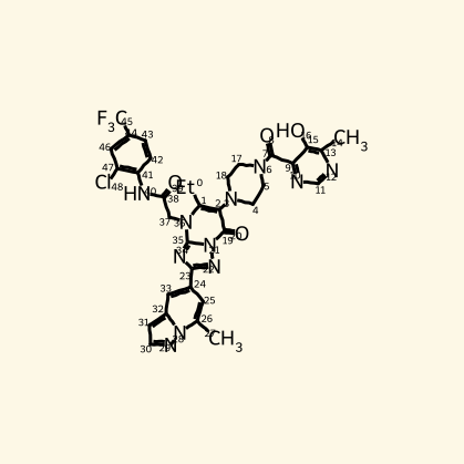 CCc1c(N2CCN(C(=O)c3ncnc(C)c3O)CC2)c(=O)n2nc(-c3cc(C)n4nccc4c3)nc2n1CC(=O)Nc1ccc(C(F)(F)F)cc1Cl